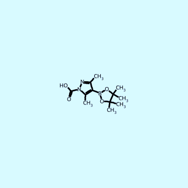 Cc1nn(C(=O)O)c(C)c1B1OC(C)(C)C(C)(C)O1